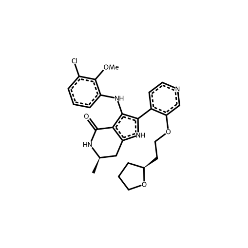 COc1c(Cl)cccc1Nc1c(-c2ccncc2OCC[C@@H]2CCCO2)[nH]c2c1C(=O)N[C@H](C)C2